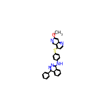 COc1cc2nccc(Sc3ccc(Nc4nnc(-c5ccccc5)c5ccccc45)cc3)c2cn1